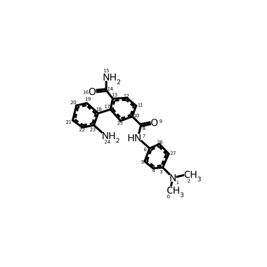 CN(C)c1ccc(NC(=O)c2ccc(C(N)=O)c(-c3ccccc3N)c2)cc1